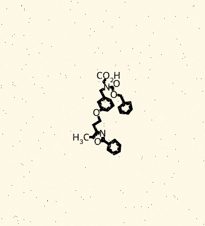 Cc1oc(-c2ccccc2)nc1CCOc1cccc(CN(CC(=O)O)C(=O)OCc2ccccc2)c1